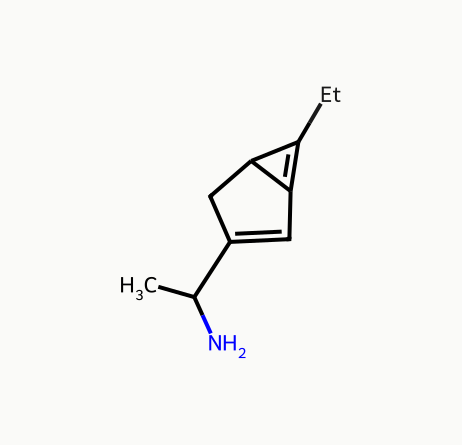 CCC1=C2C=C(C(C)N)CC21